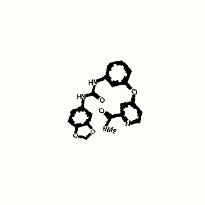 CNC(=O)c1cc(Oc2cccc(NC(=O)Nc3ccc4c(c3)OCO4)c2)ccn1